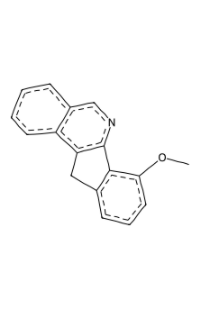 COc1cccc2c1-c1ncc3ccccc3c1C2